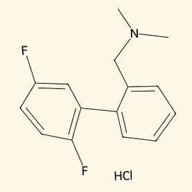 CN(C)Cc1ccccc1-c1cc(F)ccc1F.Cl